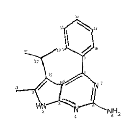 Cc1[nH]c2nc(N)nc(-c3ccccc3)c2c1C(C)C